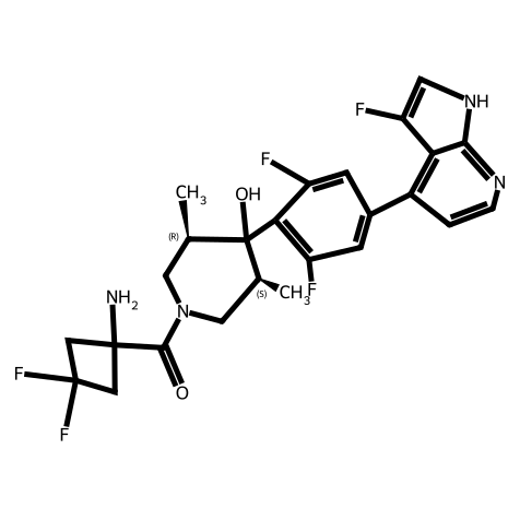 C[C@@H]1CN(C(=O)C2(N)CC(F)(F)C2)C[C@H](C)C1(O)c1c(F)cc(-c2ccnc3[nH]cc(F)c23)cc1F